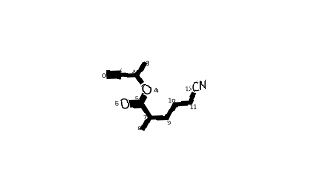 C#CC(C)OC(=O)C(C)CCCC#N